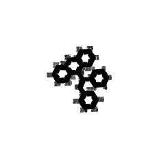 C(=C(c1ccccc1)c1c2ccccc2cc2ccccc12)c1ccccc1